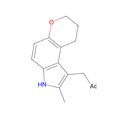 CC(=O)Cc1c(C)[nH]c2ccc3c(c12)CCCO3